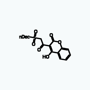 CCCCCCCCCCS(=O)(=O)CC(=O)c1c(O)c2ccccc2oc1=O